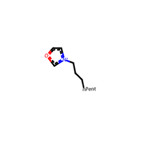 CCCCCCCC[n+]1ccoc1